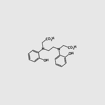 O=C(O)CN(CCN(CC(=O)O)c1ccccc1O)c1ccccc1O